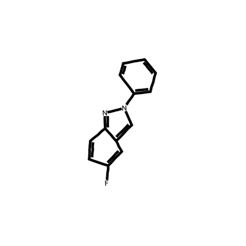 Fc1ccc2nn(-c3ccccc3)cc2c1